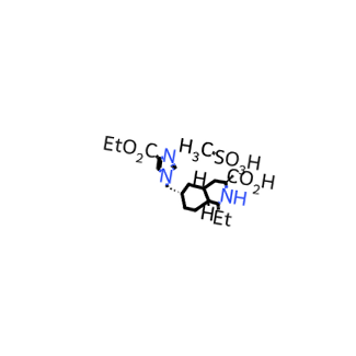 CCOC(=O)c1cn(C[C@H]2CC[C@H]3C(CC)N[C@H](C(=O)O)C[C@H]3C2)cn1.CS(=O)(=O)O